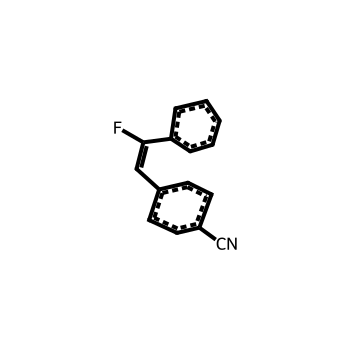 N#Cc1ccc(/C=C(/F)c2ccccc2)cc1